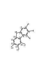 Cc1[c]c2c(c(C)c1C)-c1c(cc(C)c(C)c1C)C2